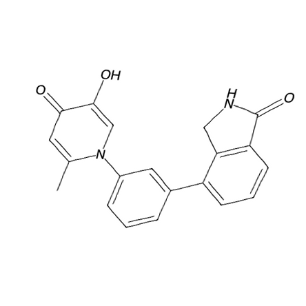 Cc1cc(=O)c(O)cn1-c1cccc(-c2cccc3c2CNC3=O)c1